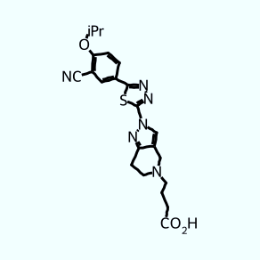 CC(C)Oc1ccc(-c2nnc(-n3cc4c(n3)CCN(CCCC(=O)O)C4)s2)cc1C#N